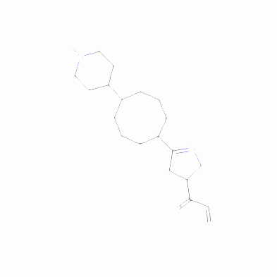 C=CC(=C)C1CN=C(C2CCCC(C3CCN(P)CC3)CCC2)C1